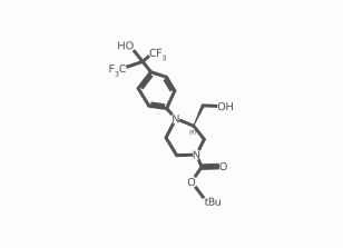 CC(C)(C)OC(=O)N1CCN(c2ccc(C(O)(C(F)(F)F)C(F)(F)F)cc2)[C@@H](CO)C1